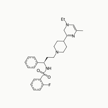 CCN1C=C(C)N=C(C2CCN(CC[C@@H](NS(=O)(=O)c3ccccc3F)c3ccccc3)CC2)C1